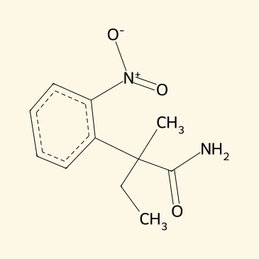 CCC(C)(C(N)=O)c1ccccc1[N+](=O)[O-]